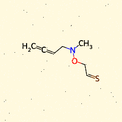 C=C=CCN(C)OCC=S